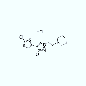 Cl.Oc1nn(CCN2CCCCC2)cc1-c1ccc(Cl)s1